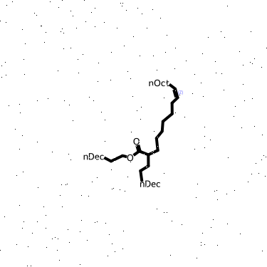 CCCCCCCC/C=C\CCCCCCC(CCCCCCCCCCCC)C(=O)OCCCCCCCCCCCC